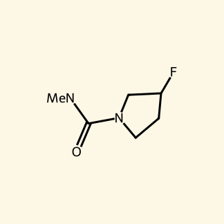 CNC(=O)N1CCC(F)C1